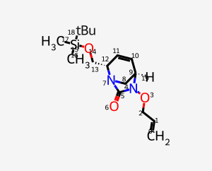 C=CCON1C(=O)N2C[C@H]1C=C[C@H]2CO[Si](C)(C)C(C)(C)C